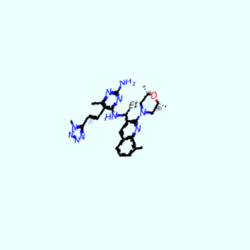 CCC(Nc1nc(N)nc(C)c1/C=C/c1nnnn1C)c1cc2cccc(C)c2nc1N1C[C@@H](C)O[C@@H](C)C1